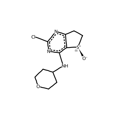 [O-][S@+]1CCc2nc(Cl)nc(NC3CCOCC3)c21